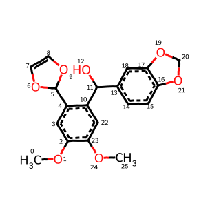 COc1cc(C2OC=CO2)c(C(O)c2ccc3c(c2)OCO3)cc1OC